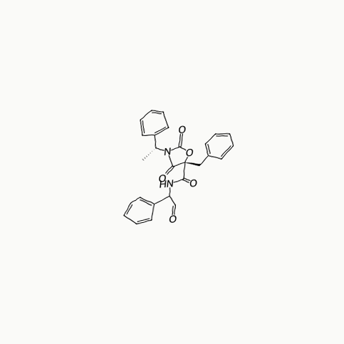 C[C@H](c1ccccc1)N1C(=O)O[C@](Cc2ccccc2)(C(=O)NC(C=O)c2ccccc2)C1=O